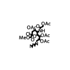 COC(=O)[C@]1(Cl)C[C@H](OC(C)=O)[C@@H](NC(=O)COC(C)=O)[C@H]([C@H](OC(C)=O)[C@@H](CN=[N+]=[N-])OC(C)=O)O1